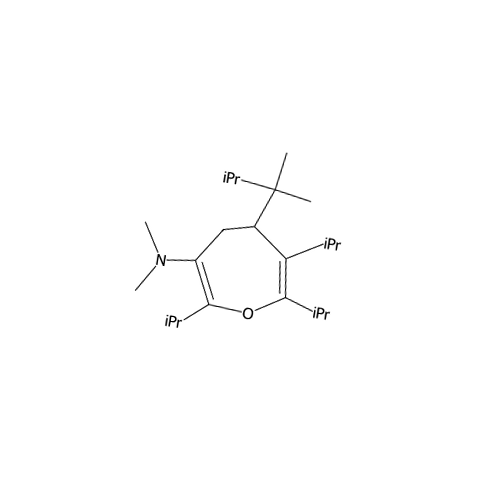 CC(C)C1=C(C(C)C)C(C(C)(C)C(C)C)CC(N(C)C)=C(C(C)C)O1